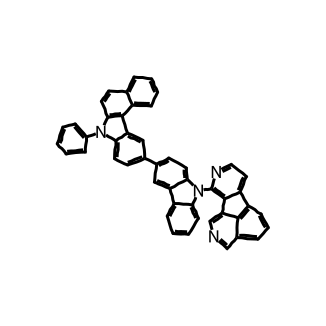 c1ccc(-n2c3ccc(-c4ccc5c(c4)c4ccccc4n5-c4nccc5c4-c4cncc6cccc-5c46)cc3c3c4ccccc4ccc32)cc1